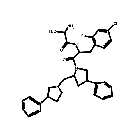 CC(N)C(=O)NC(Cc1ccc(Cl)cc1Cl)C(=O)N1CC(c2ccccc2)CC1CN1CCC(c2ccccc2)C1